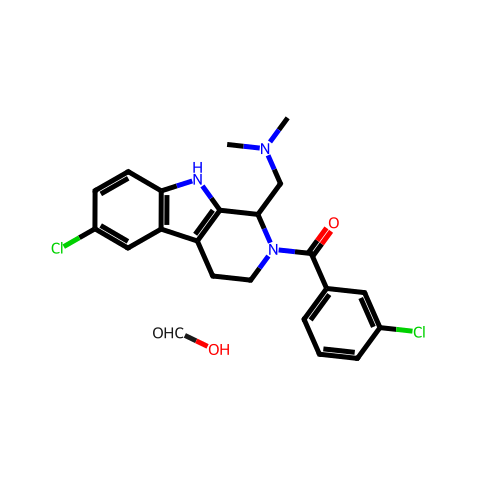 CN(C)CC1c2[nH]c3ccc(Cl)cc3c2CCN1C(=O)c1cccc(Cl)c1.O=CO